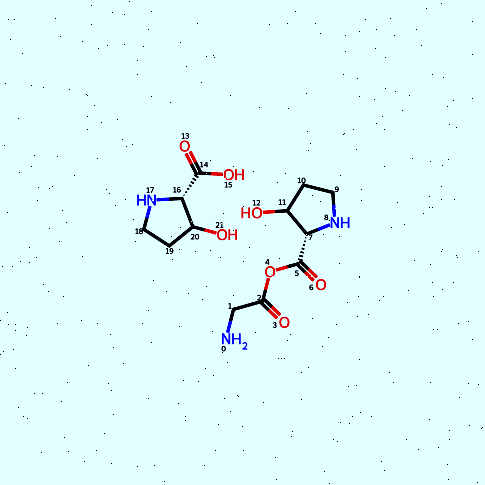 NCC(=O)OC(=O)[C@H]1NCCC1O.O=C(O)[C@H]1NCCC1O